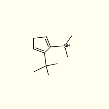 C[SiH](C)C1=[C]CC=C1C(C)(C)C